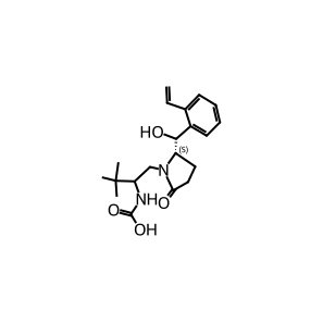 C=Cc1ccccc1C(O)[C@@H]1CCC(=O)N1CC(NC(=O)O)C(C)(C)C